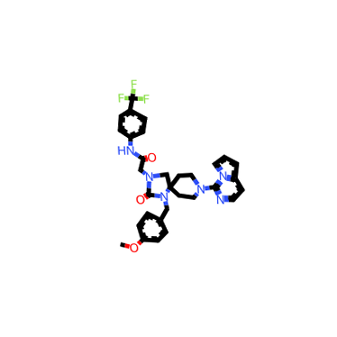 COc1ccc(CN2C(=O)N(CC(=O)Nc3ccc(C(F)(F)F)cc3)CC23CCN(c2nccc4cccn24)CC3)cc1